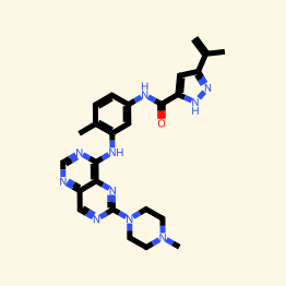 C=C(C)c1cc(C(=O)Nc2ccc(C)c(Nc3ncnc4cnc(N5CCN(C)CC5)nc34)c2)[nH]n1